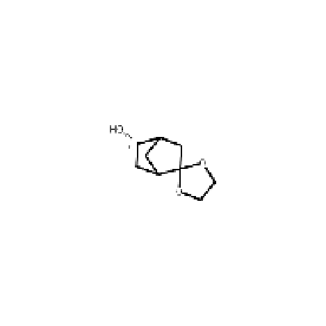 O[C@H]1CC2CC1CC21OCCO1